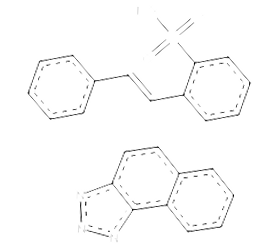 O=S(=O)(O)c1ccccc1C=Cc1ccccc1.c1ccc2c(c1)ccc1nn[nH]c12